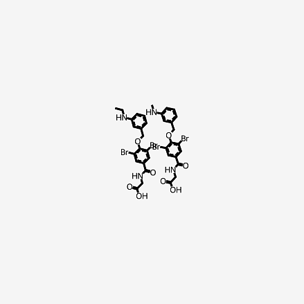 CCNc1cccc(COc2c(Br)cc(C(=O)NCC(=O)O)cc2Br)c1.CNc1cccc(COc2c(Br)cc(C(=O)NCC(=O)O)cc2Br)c1